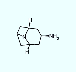 N[C@@H]1C[C@H]2CC3C[C@@H](C1)N32